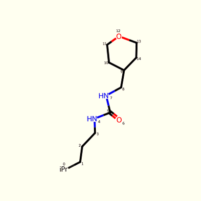 CC(C)CCCNC(=O)NCC1CCOCC1